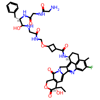 CC[C@@]1(O)C(=O)OCc2c1cc1n(c2=O)Cc2c-1nc1cc(F)c(C)c3c1c2[C@@H](NC(=O)C1CC(OCNC(=O)CNC(O)[C@H](Cc2ccccc2)NC(=O)CNC(=O)CN)C1)CC3